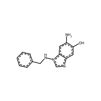 Nc1cc2c(cc1O)ncn2NCc1ccccc1